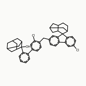 OC1(c2ccccc2-c2ccc(Cc3ccc4c(c3)C3(c5ccc(Cl)cc5-4)C4CCC5CC(C4)CC53)c(Cl)c2)C2CC3CC(C2)CC1C3